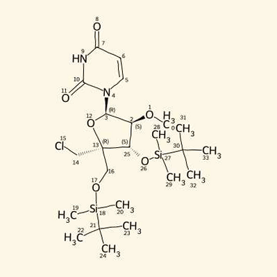 CO[C@@H]1[C@H](n2ccc(=O)[nH]c2=O)O[C@](CCl)(CO[Si](C)(C)C(C)(C)C)[C@H]1O[Si](C)(C)C(C)(C)C